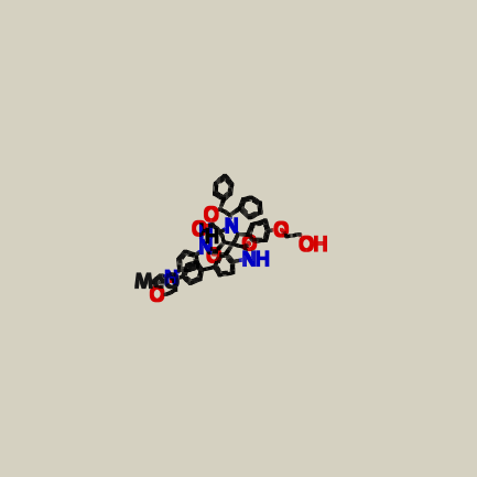 COc1ccc(-c2ccc3c(c2)[C@]2(C(=O)N3)[C@H](c3ccc(OCCO)cc3)N3[C@H](c4ccccc4)[C@H](c4ccccc4)OC(=O)[C@H]3[C@@H]2C(=O)Nc2ccc(N3CCOCC3)cc2)cc1